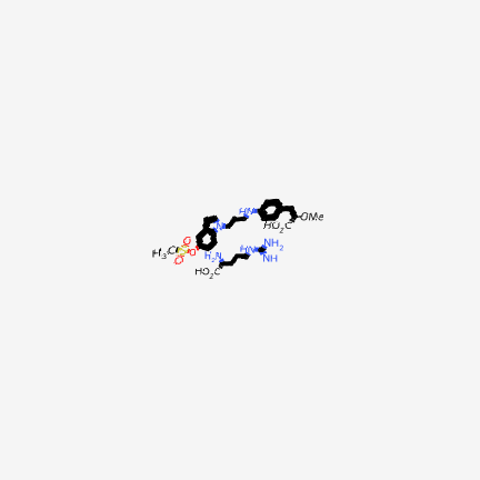 CO[C@@H](Cc1ccc(NCCCn2ccc3cc(OS(C)(=O)=O)ccc32)cc1)C(=O)O.N=C(N)NCCCC(N)C(=O)O